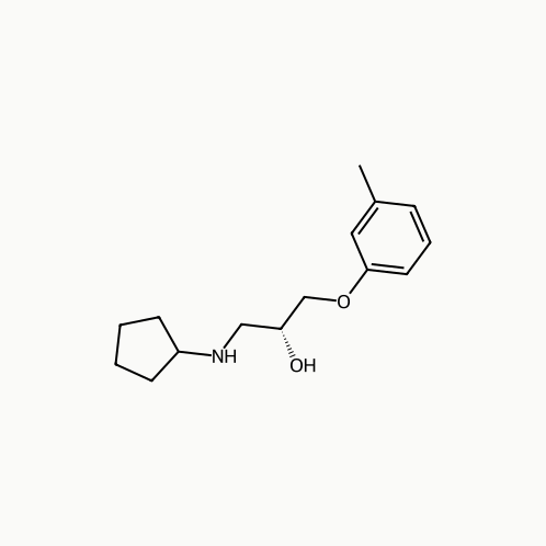 Cc1cccc(OC[C@H](O)CNC2CCCC2)c1